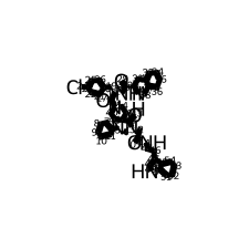 O=C(CN1CN(c2ccccc2)C2(CCN(C(=O)[C@@H](Cc3ccc(Cl)cc3)NC(=O)[C@H]3Cc4ccccc4CN3)CC2)C1=O)NCCc1c[nH]c2ccccc12